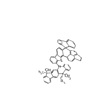 CC1(C)c2ccccc2-c2cc3c(cc21)N(c1cccc2c1sc1c4c(ccc12)C1(c2ccccc2-c2ccccc21)c1ccc2c5c(ccc-4c15)CC2)c1ccccc1C3(C)C